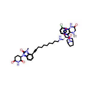 CCN1CC(=O)Nc2ncnc(N3CC4CCC(C3)N4C(=O)[C@H](CNCCCCCCCCC#Cc3cccc4c3n(C)c(=O)n4C3CCC(=O)NC3=O)c3ccc(Cl)cc3)c21